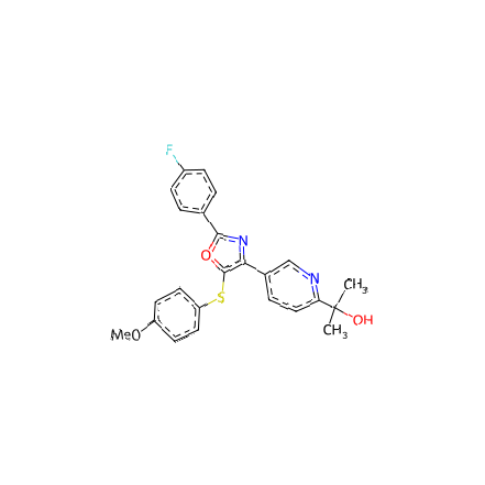 COc1ccc(Sc2oc(-c3ccc(F)cc3)nc2-c2ccc(C(C)(C)O)nc2)cc1